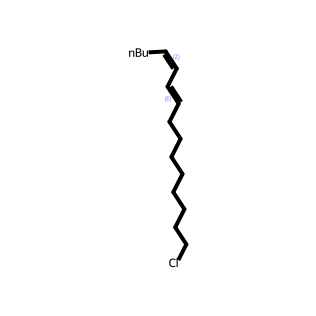 CCCC/C=C\C=C\CCCCCCCCCl